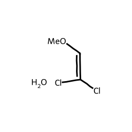 COC=C(Cl)Cl.O